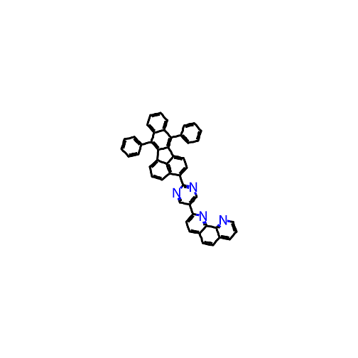 c1ccc(-c2c3c(c(-c4ccccc4)c4ccccc24)-c2ccc(-c4ncc(-c5ccc6ccc7cccnc7c6n5)cn4)c4cccc-3c24)cc1